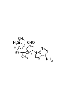 C[SiH2]OC(C)(C1CC(n2cnc3c(N)ncnc32)C=C1C=O)C(C)(C)C(C)C